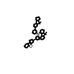 CC1(C)c2ccccc2-c2ccc(-c3cccc(N(c4cccc(-c5ccc6c(c5)oc5ccccc56)c4)c4cccc5c4-c4ccccc4C5(C)C)c3)cc21